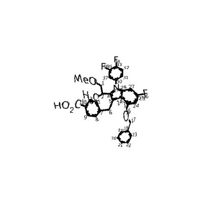 COCC(C)c1c(Cc2ccc(C(=O)O)cc2)c2c(OCc3ccccc3)cc(F)cc2n1-c1ccc(F)c(F)c1